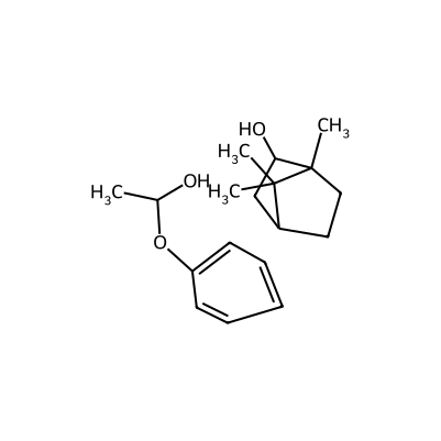 CC(O)Oc1ccccc1.CC1(C)C2CCC1(C)C(O)C2